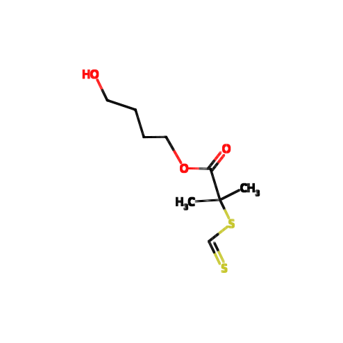 CC(C)(SC=S)C(=O)OCCCCO